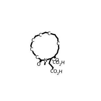 CN1C(=O)CCCCCCCCCCCCCCC(=O)[C@]1(CCC(=O)O)C(=O)O